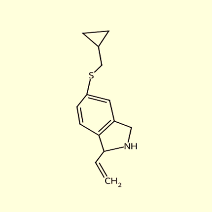 C=CC1NCc2cc(SCC3CC3)ccc21